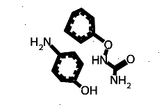 NC(=O)NOc1ccccc1.Nc1ccc(O)cc1